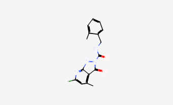 Cc1ccccc1CNC(=O)n1[nH]c2nc(Cl)cc(C)c2c1=O